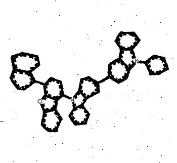 c1ccc(-n2c3ccccc3c3cc(-c4ccc5c(c4)c4ccccc4n5-c4ccc(-c5cccc6ccccc56)c5oc6ccccc6c45)ccc32)cc1